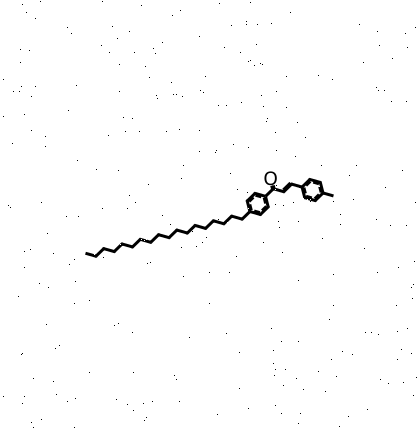 CCCCCCCCCCCCCCCCCCc1ccc(C(=O)C=Cc2ccc(C)cc2)cc1